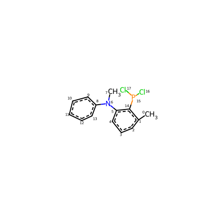 Cc1cccc(N(C)c2ccccc2)c1P(Cl)Cl